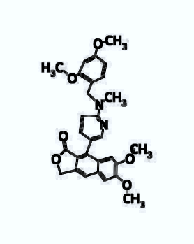 COc1ccc(CN(C)c2ccc(-c3c4c(cc5cc(OC)c(OC)cc35)COC4=O)cn2)c(OC)c1